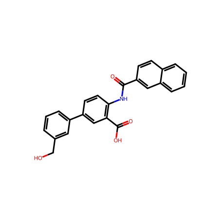 O=C(Nc1ccc(-c2cccc(CO)c2)cc1C(=O)O)c1ccc2ccccc2c1